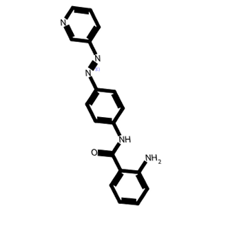 Nc1ccccc1C(=O)Nc1ccc(/N=N/c2cccnc2)cc1